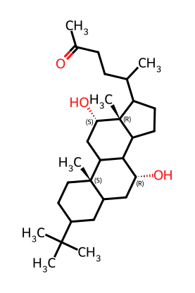 CC(=O)CCC(C)C1CCC2C3C(C[C@H](O)[C@]12C)[C@@]1(C)CCC(C(C)(C)C)CC1C[C@H]3O